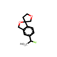 O=C(O)C(F)c1ccc2c(c1)COC21CCOC1